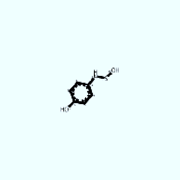 OSNc1ccc(O)cc1